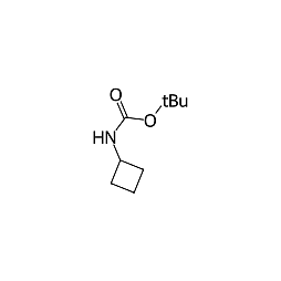 CC(C)(C)OC(=O)NC1CCC1